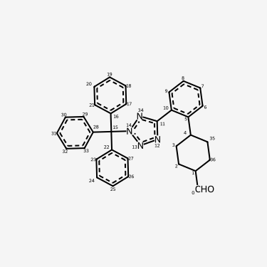 O=CC1CCC(c2ccccc2-c2nnn(C(c3ccccc3)(c3ccccc3)c3ccccc3)n2)CC1